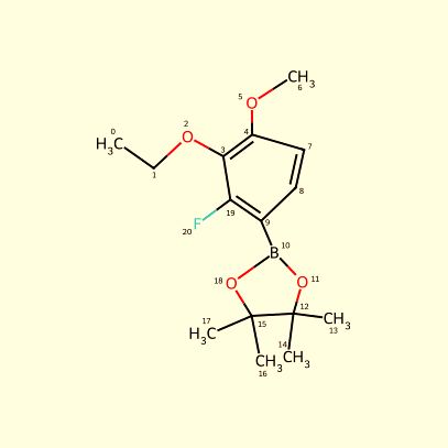 CCOc1c(OC)ccc(B2OC(C)(C)C(C)(C)O2)c1F